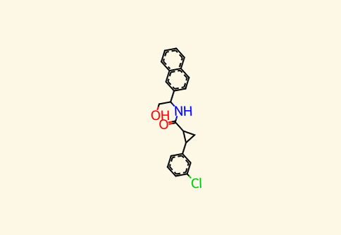 O=C(NC(CO)c1ccc2ccccc2c1)C1CC1c1cccc(Cl)c1